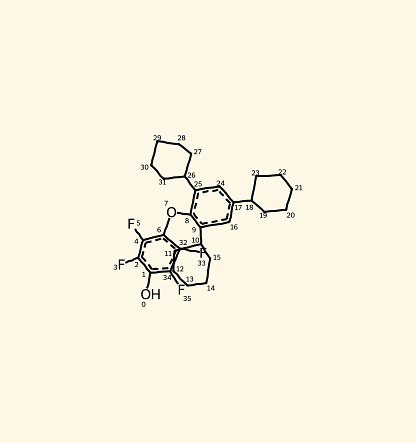 Oc1c(F)c(F)c(Oc2c(C3CCCCC3)cc(C3CCCCC3)cc2C2CCCCC2)c(F)c1F